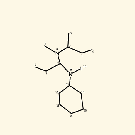 CCC(C)N(C)C(CC)N(I)C1CCCCC1